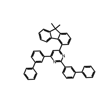 CC1(C)c2ccccc2-c2c(-c3cc(-c4cccc(-c5ccccc5)c4)nc(-c4cccc(-c5ccccc5)c4)n3)cccc21